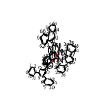 c1ccc(-c2cc(-c3ccccc3)cc(-c3nc4cccc(-n5c6ccccc6c6ccc7c8ccccc8n(-c8nc(-c9ccccc9)nc(-c9cc%10ccccc%10c%10ccccc9%10)n8)c7c65)c4o3)c2)cc1